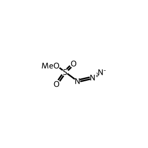 COS(=O)(=O)N=[N+]=[N-]